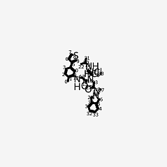 Cc1ccc(-c2ccsc2)cc1NCC(=O)N(CCNC(C)C)CC(=O)N(C)N1Cc2ccccc2C1.Cl.Cl